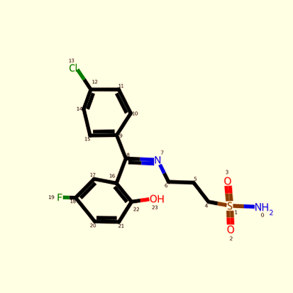 NS(=O)(=O)CCCN=C(c1ccc(Cl)cc1)c1cc(F)ccc1O